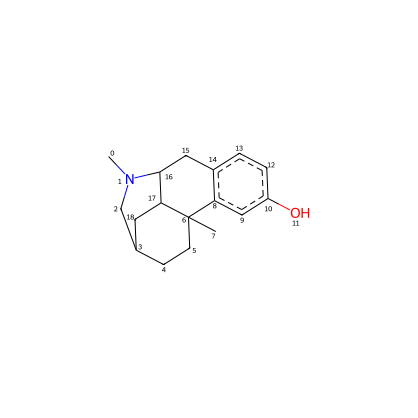 CN1CC2CCC3(C)c4cc(O)ccc4CC1C3C2